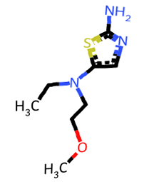 CCN(CCOC)c1cnc(N)s1